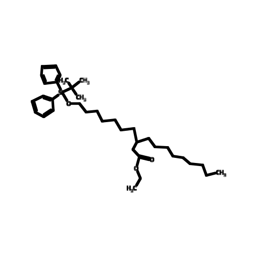 CCCCCCCCCC(CCCCCCCO[Si](c1ccccc1)(c1ccccc1)C(C)(C)C)CC(=O)OCC